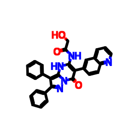 O=C(CO)Nc1[nH]c2c(-c3ccccc3)c(-c3ccccc3)nn2c(=O)c1-c1ccc2ncccc2c1